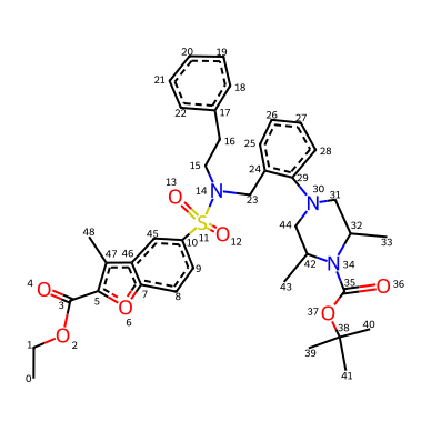 CCOC(=O)c1oc2ccc(S(=O)(=O)N(CCc3ccccc3)Cc3ccccc3N3CC(C)N(C(=O)OC(C)(C)C)C(C)C3)cc2c1C